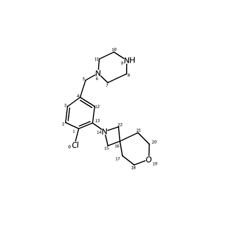 Clc1ccc(CN2CCNCC2)cc1N1CC2(CCOCC2)C1